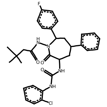 CC(C)(C)CC(=O)NN1C(=O)C(NC(=O)Nc2ccccc2Cl)CC(c2ccccc2)CC1c1ccc(F)cc1